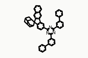 c1ccc(-c2cccc(-c3nc(-c4cccc(-c5ccccc5)c4)nc(-c4ccc5c(c4)-c4cc6ccccc6cc4C54C5CC6CC(C5)CC4C6)n3)c2)cc1